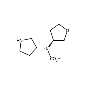 O=C(O)N([C@@H]1CCNC1)[C@H]1CCOC1